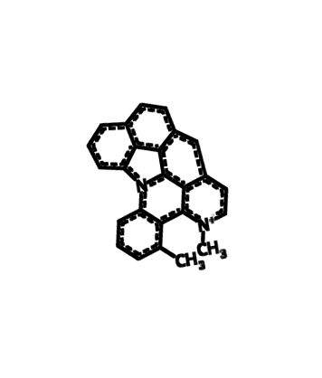 Cc1cccc2c1c1c3c(cc[n+]1C)cc1ccc4cccc5c4c1c3n25